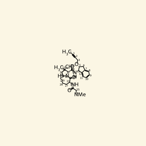 CC#CCO[C@@H]1Cc2ccccc2[C@@H]1NC(=O)[C@H]1N2C(=O)[C@@H](NC(=O)CNC)CCS[C@H]2CC1(C)C